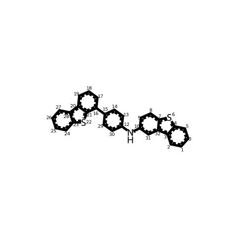 c1ccc2c(c1)sc1ccc(Nc3ccc(-c4cccc5c4sc4ccccc45)cc3)cc12